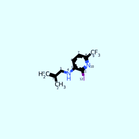 C=C(C)CNc1ccc(C(F)(F)F)nc1I